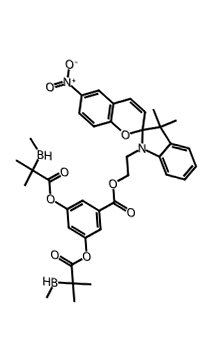 CBC(C)(C)C(=O)Oc1cc(OC(=O)C(C)(C)BC)cc(C(=O)OCCN2c3ccccc3C(C)(C)C23C=Cc2cc([N+](=O)[O-])ccc2O3)c1